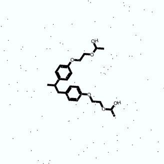 CC(O)OCCOc1ccc(CC(C)c2ccc(OCCOC(C)O)cc2)cc1